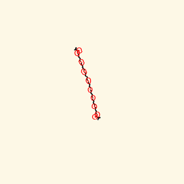 C=C(C)C(=O)OCCCCOCCCCOCCCCOCCCCOCCCCOCCCCOCCCCOC(=O)C(=C)C